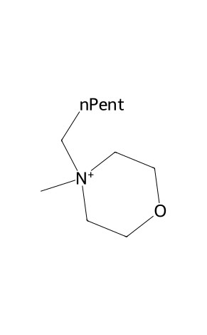 CCCCCC[N+]1(C)CCOCC1